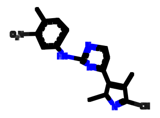 CC1=C(c2ccnc(Nc3ccc(C)c([N+](=O)[O-])c3)n2)C(C)N=C1C#N